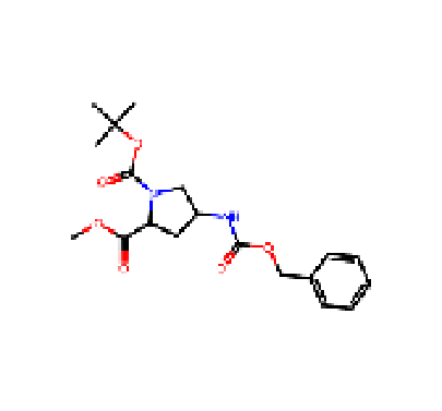 COC(=O)C1CC(NC(=O)OCc2ccccc2)CN1C(=O)OC(C)(C)C